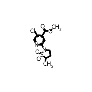 COC(=O)c1cc(N2CCC(C)S2(=O)=O)ncc1Cl